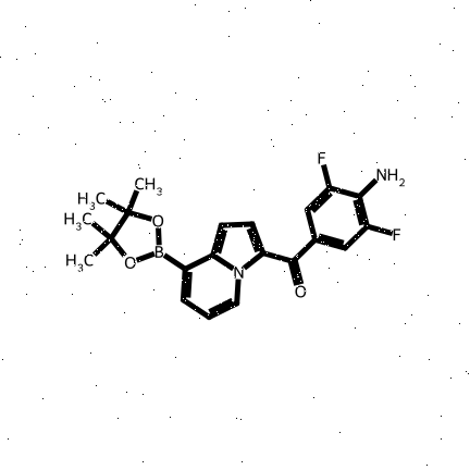 CC1(C)OB(c2cccn3c(C(=O)c4cc(F)c(N)c(F)c4)ccc23)OC1(C)C